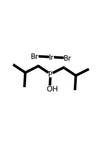 CC(C)CP(O)CC(C)C.[Br][Ir][Br]